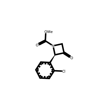 COC(=O)N1CC(=O)[C@H]1c1ccccc1Cl